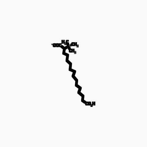 C[N+](C)(C)C(CCCCCCCCCCCCCC(=O)O)C(=O)[O-]